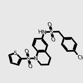 Cc1ccc(CS(=O)(=O)Nc2ccc3c(c2)CCCN3S(=O)(=O)c2cccs2)cc1